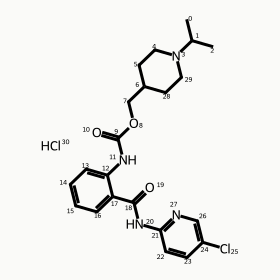 CC(C)N1CCC(COC(=O)Nc2ccccc2C(=O)Nc2ccc(Cl)cn2)CC1.Cl